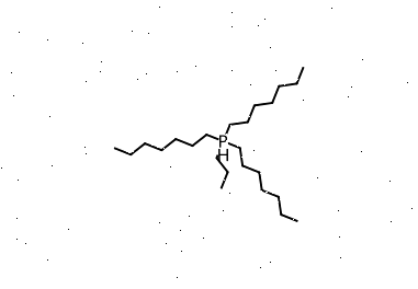 CCCCCCC[PH](CCC)(CCCCCCC)CCCCCCC